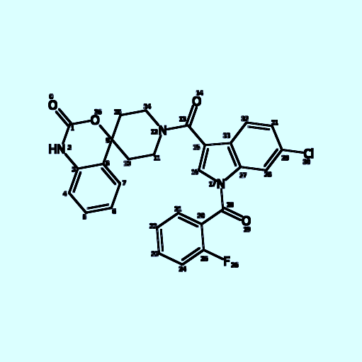 O=C1Nc2ccccc2C2(CCN(C(=O)c3cn(C(=O)c4ccccc4F)c4cc(Cl)ccc34)CC2)O1